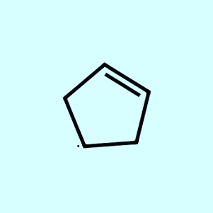 [CH]1CC=CC1